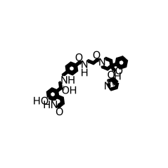 O=C(NCCC(=O)N1CCC(C(=O)O[C@H]2CN3CCC2CC3)(c2ccccc2)CC1)c1ccc(CNC[C@H](O)c2ccc(O)c3[nH]c(=O)ccc23)cc1